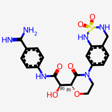 N=C(N)c1ccc(NC(=O)[C@H](O)[C@H]2OCCN(c3ccc4c(c3)NS(=O)(=O)NC4)C2=O)cc1